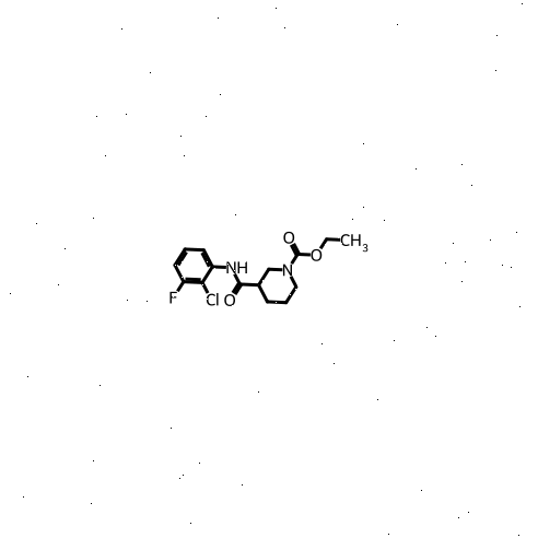 CCOC(=O)N1CCCC(C(=O)Nc2cccc(F)c2Cl)C1